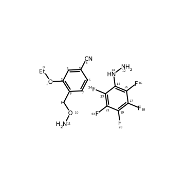 CCOc1cc(C#N)ccc1CON.NNc1c(F)c(F)c(F)c(F)c1F